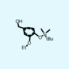 CCOc1cc(CO)ccc1O[Si](C)(C)C(C)(C)C